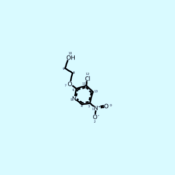 O=[N+]([O-])c1cnc(OCCO)c(Cl)c1